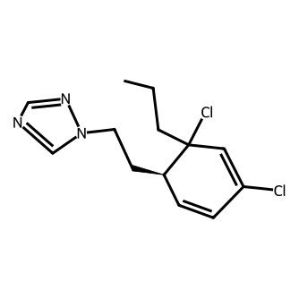 CCCC1(Cl)C=C(Cl)C=C[C@H]1CCn1cncn1